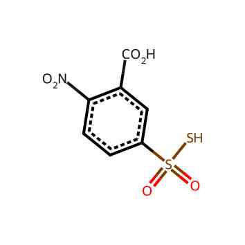 O=C(O)c1cc(S(=O)(=O)S)ccc1[N+](=O)[O-]